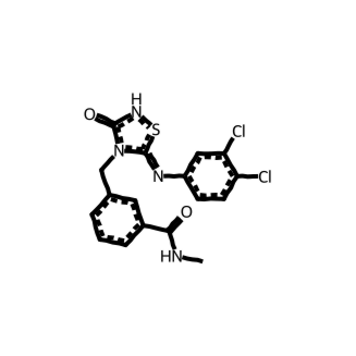 CNC(=O)c1cccc(Cn2c(=O)[nH]s/c2=N\c2ccc(Cl)c(Cl)c2)c1